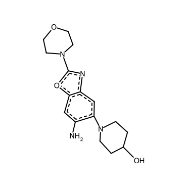 Nc1cc2oc(N3CCOCC3)nc2cc1N1CCC(O)CC1